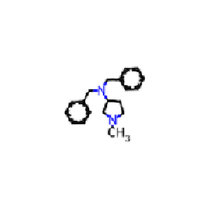 CN1CCC(N(Cc2ccccc2)Cc2ccccc2)C1